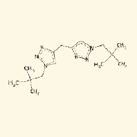 CC(C)(C)Cn1cc(Cc2cn(CC(C)(C)C)nn2)nn1